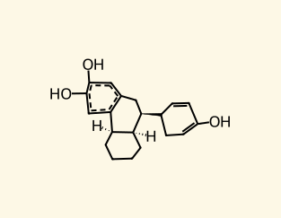 OC1=CCC([C@@H]2Cc3cc(O)c(O)cc3[C@@H]3CCCC[C@@H]32)C=C1